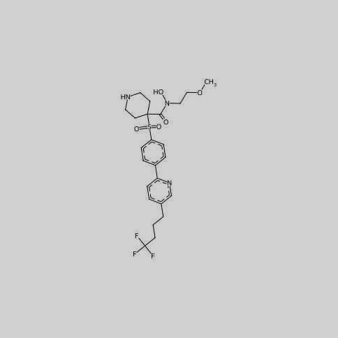 COCCN(O)C(=O)C1(S(=O)(=O)c2ccc(-c3ccc(CCCC(F)(F)F)cn3)cc2)CCNCC1